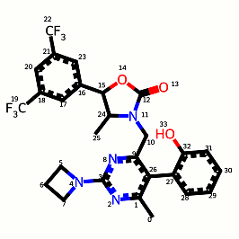 Cc1nc(N2CCC2)nc(CN2C(=O)OC(c3cc(C(F)(F)F)cc(C(F)(F)F)c3)C2C)c1-c1ccccc1O